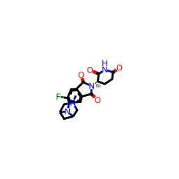 CN1CC2CC(C1)N2c1cc2c(cc1F)C(=O)N([C@H]1CCC(=O)NC1=O)C2=O